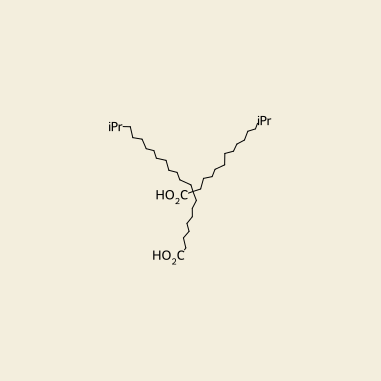 CC(C)CCCCCCCCCCCC(CCCCCCCCCCCC(C)C)(CCCCCCCC(=O)O)C(=O)O